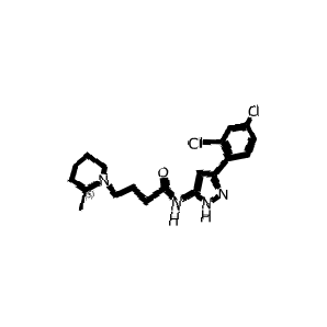 C[C@H]1CCCCN1CCCC(=O)Nc1cc(-c2ccc(Cl)cc2Cl)n[nH]1